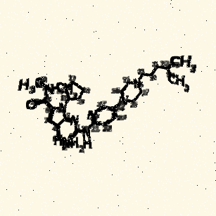 C=C(/N=C1\C(=C/N)C=C(C(=O)N(C)C)N1C1CCCC1)Nc1ccc(N2CCN(CCCC(C)C)CC2)cn1